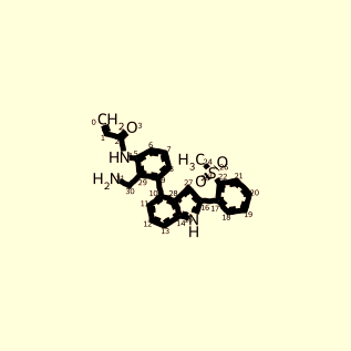 C=CC(=O)Nc1cccc(-c2cccc3[nH]c(-c4ccccc4S(C)(=O)=O)cc23)c1CN